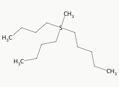 CCCCCS(C)(CCCC)CCCC